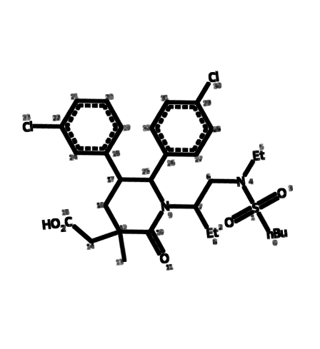 CCCCS(=O)(=O)N(CC)CC(CC)N1C(=O)C(C)(CC(=O)O)CC(c2cccc(Cl)c2)C1c1ccc(Cl)cc1